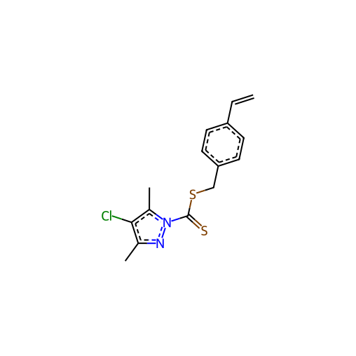 C=Cc1ccc(CSC(=S)n2nc(C)c(Cl)c2C)cc1